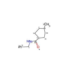 CC(C)CNC(=O)C1CCC(C)CC1